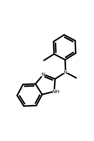 Cc1ccccc1N(C)c1nc2ccccc2[nH]1